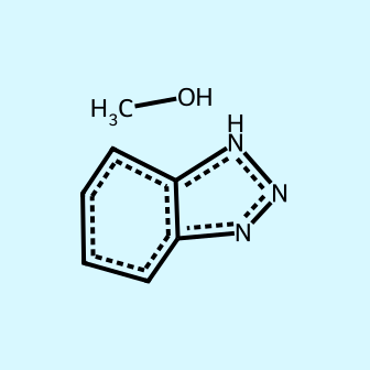 CO.c1ccc2[nH]nnc2c1